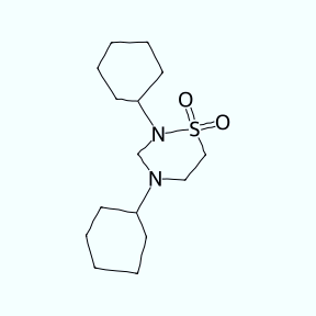 O=S1(=O)CCN(C2CCCCC2)CN1C1CCCCC1